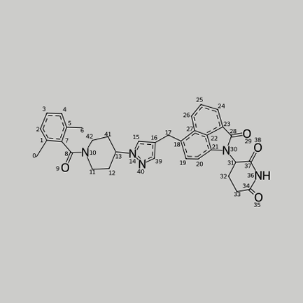 Cc1cccc(C)c1C(=O)N1CCC(n2cc(Cc3ccc4c5c(cccc35)C(=O)N4C3CCC(=O)NC3=O)cn2)CC1